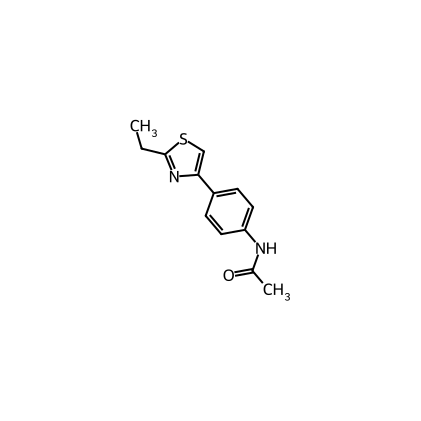 CCc1nc(-c2ccc(NC(C)=O)cc2)cs1